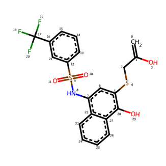 C=C(O)CSc1cc(NS(=O)(=O)c2cccc(C(F)(F)F)c2)c2ccccc2c1O